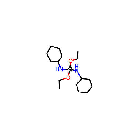 CCO[Si](NC1CCCCC1)(NC1CCCCC1)OCC